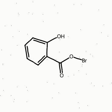 O=C(OBr)c1ccccc1O